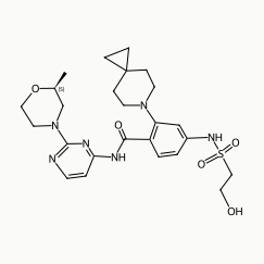 C[C@H]1CN(c2nccc(NC(=O)c3ccc(NS(=O)(=O)CCO)cc3N3CCC4(CC3)CC4)n2)CCO1